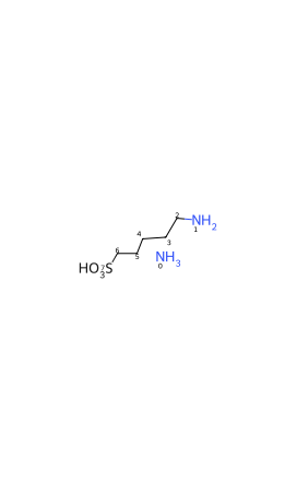 N.NCCCCCS(=O)(=O)O